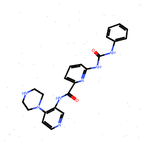 O=C(Nc1ccccc1)Nc1cccc(C(=O)Nc2cnccc2N2CCNCC2)n1